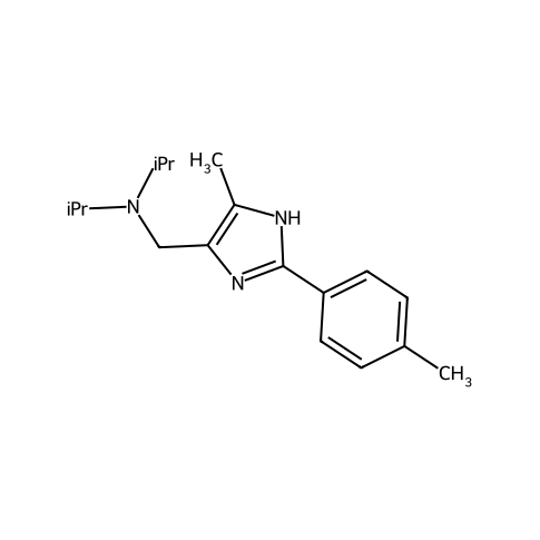 Cc1ccc(-c2nc(CN(C(C)C)C(C)C)c(C)[nH]2)cc1